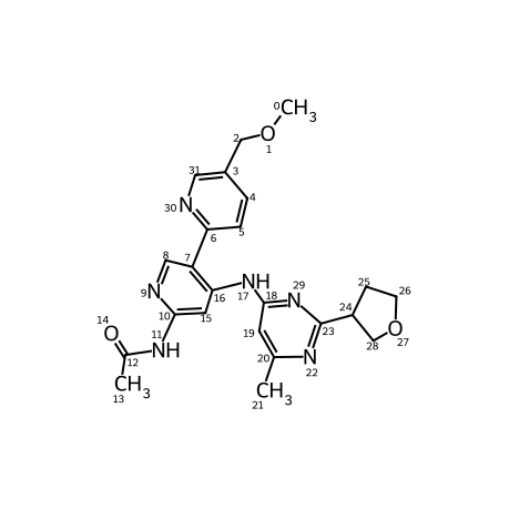 COCc1ccc(-c2cnc(NC(C)=O)cc2Nc2cc(C)nc(C3CCOC3)n2)nc1